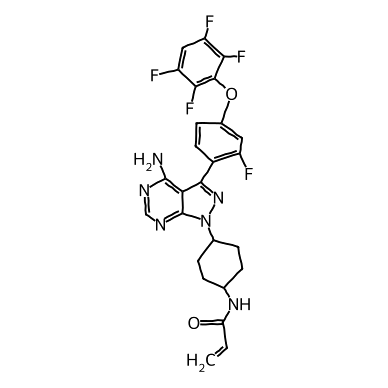 C=CC(=O)NC1CCC(n2nc(-c3ccc(Oc4c(F)c(F)cc(F)c4F)cc3F)c3c(N)ncnc32)CC1